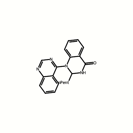 CCCCCC1NC(=O)c2ccccc2N1c1ncnc2ccccc12